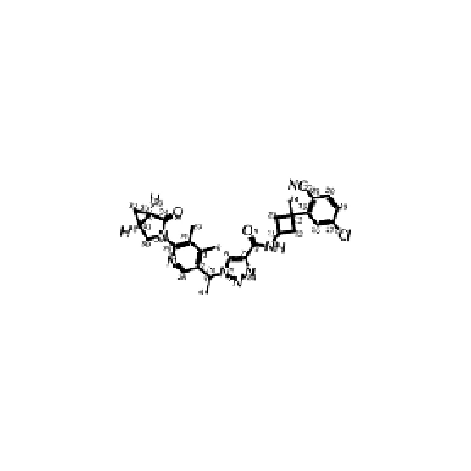 Cc1c([C@H](C)n2cc(C(=O)NC3CC(C)(c4cc(Cl)ccc4C#N)C3)nn2)cnc(N2C[C@H]3C[C@H]3C2=O)c1C